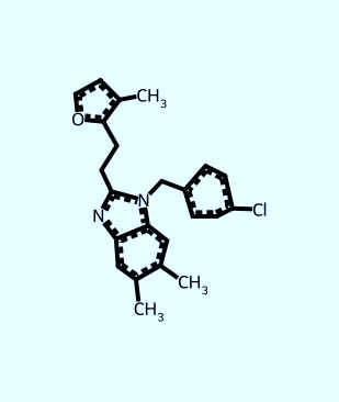 Cc1cc2nc(CCc3occc3C)n(Cc3ccc(Cl)cc3)c2cc1C